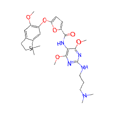 COc1cc2c(cc1Oc1ccc(C(=O)Nc3c(OC)nc(NCCCN(C)C)nc3OC)o1)[Si](C)(C)CC2